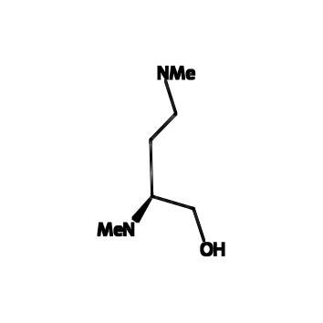 CNCC[C@@H](CO)NC